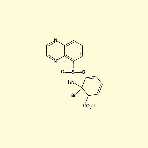 O=C(O)C1C=CC=CC1(Br)NS(=O)(=O)c1cccc2nccnc12